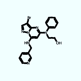 OCCN(c1ccccc1)c1cc(NCc2cccnc2)n2ncc(Br)c2n1